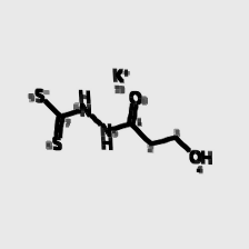 O=C(CCO)NNC(=S)[S-].[K+]